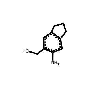 Nc1cc2c(cc1CO)CCC2